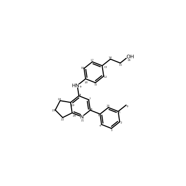 Cc1cccc(-c2cc(Nc3ccc(CCO)cc3)c3c(n2)CCC3)c1